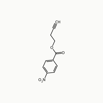 C#CCCOC(=O)c1ccc([N+](=O)[O-])cc1